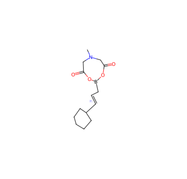 CN1CC(=O)OB(C/C=C/C2CCCCC2)OC(=O)C1